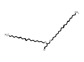 CCCCCC=CCC=CCCCCCCCCOCC(CC=O)OCCCCCCCCC=CCC=CCCCCC